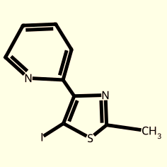 Cc1nc(-c2ccccn2)c(I)s1